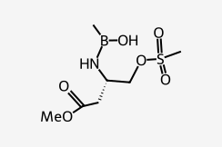 COC(=O)C[C@@H](COS(C)(=O)=O)NB(C)O